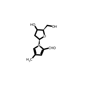 Cc1cc(C=O)n([C@H]2CC(O)[C@@H](CO)O2)c1